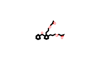 O=C(c1ccccc1)c1cccc(CCCOCC2CO2)c1CCCOCC1CO1